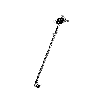 Cc1cc(OCCCCCC(=O)NCCOCCOCCOCCOCCOCCOCCOCCOCCOCCOCCOCCOCCC(=O)ON2C(=O)CCC2=O)c2ccc3c(S(=O)(=O)O)cc(C)c4ccc1c2c43